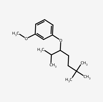 COc1cccc(OC(CCC(C)(C)C)C(C)C)c1